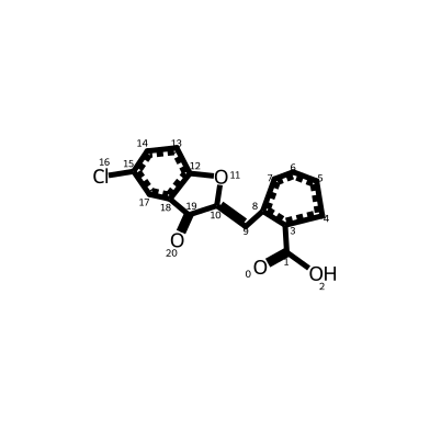 O=C(O)c1ccccc1/C=C1\Oc2ccc(Cl)cc2C1=O